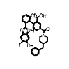 COc1cc2[nH]c(-c3cccc(Cl)c3-c3ccc(C(=O)N4CCC(Cc5ccccc5)CC4)cc3C(=O)O)nc2cc1F